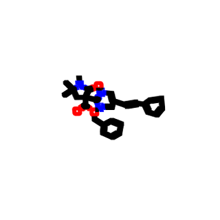 CN1C(=O)C(C(=O)OCc2ccccc2)(c2ncc(C#Cc3ccccc3)cn2)CC1(C)C